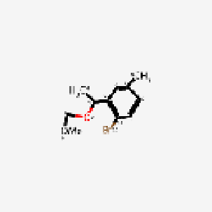 COCOC(C)c1cc(C)ccc1Br